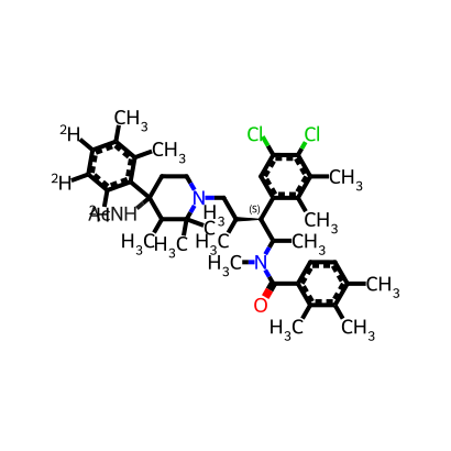 [2H]c1c([2H])c(C)c(C)c(C2(NC(C)=O)CCN(CC(C)[C@@H](c3cc(Cl)c(Cl)c(C)c3C)C(C)N(C)C(=O)c3ccc(C)c(C)c3C)C(C)(C)C2C)c1[2H]